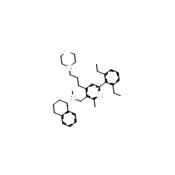 CCc1cccc(CC)c1-c1cc(CCCN2CCOCC2)c(CN(C)[C@H]2CCCc3ccccc32)c(C)n1